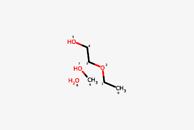 CCOCCO.CO.O